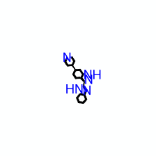 c1ccc2[nH]c(-c3n[nH]c4cc(-c5ccncc5)ccc34)nc2c1